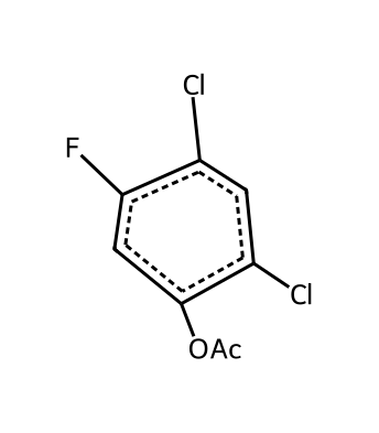 CC(=O)Oc1cc(F)c(Cl)cc1Cl